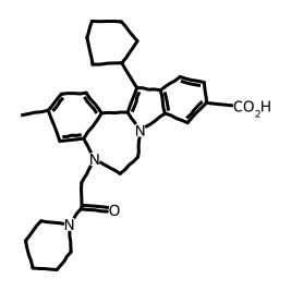 Cc1ccc2c(c1)N(CC(=O)N1CCCCC1)CCn1c-2c(C2CCCCC2)c2ccc(C(=O)O)cc21